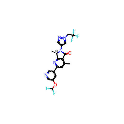 Cc1cc(-c2cncc(OC(F)F)c2)nc2c1C(=O)N(c1cnn(CC(F)(F)F)c1)[C@@H]2C